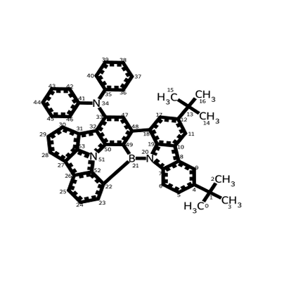 CC(C)(C)c1ccc2c(c1)c1cc(C(C)(C)C)cc3c1n2B1c2cccc4c5cccc6c7c(N(c8ccccc8)c8ccccc8)cc-3c1c7n(c24)c56